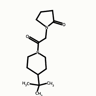 CC(C)(C)C1CCN(C(=O)CN2CCCC2=O)CC1